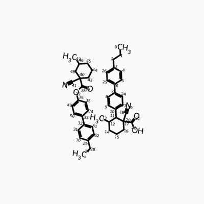 CCCc1ccc(-c2ccc(C3C(C)CCCC3(C#N)C(=O)O)cc2)cc1.CCc1ccc(-c2ccc(OC(=O)C3(C#N)CCCC(C)C3)cc2)cc1